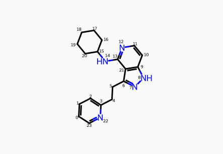 c1ccc(CCc2n[nH]c3ccnc(NC4CCCCC4)c23)nc1